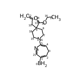 BC1=CCC=C(N2CCC(CC=C)(C(=O)OCC)CC2)N=C1